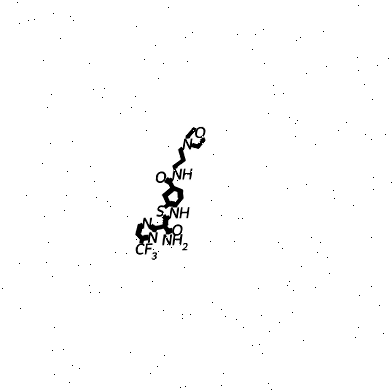 NC(=O)/C(=C1\Nc2ccc(C(=O)NCCCN3CCOCC3)cc2S1)c1nccc(C(F)(F)F)n1